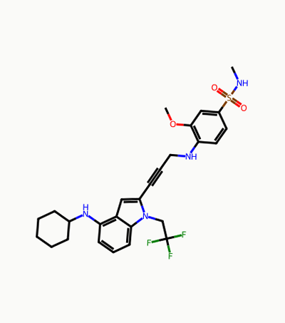 CNS(=O)(=O)c1ccc(NCC#Cc2cc3c(NC4CCCCC4)cccc3n2CC(F)(F)F)c(OC)c1